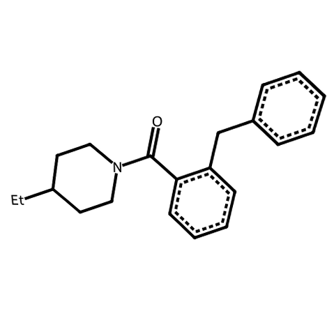 CCC1CCN(C(=O)c2ccccc2Cc2ccccc2)CC1